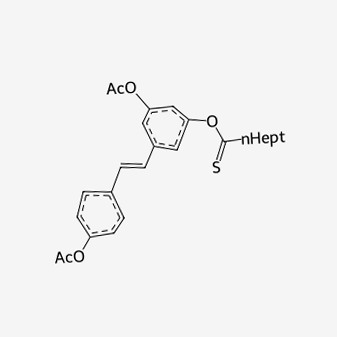 CCCCCCCC(=S)Oc1cc(C=Cc2ccc(OC(C)=O)cc2)cc(OC(C)=O)c1